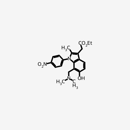 CCOC(=O)Cc1c(C)n(-c2ccc([N+](=O)[O-])cc2)c2c(CN(C)C)c(O)ccc12